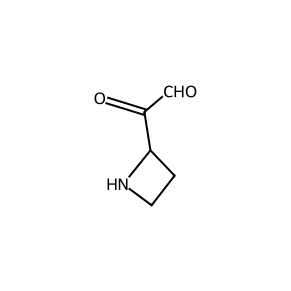 O=CC(=O)C1CCN1